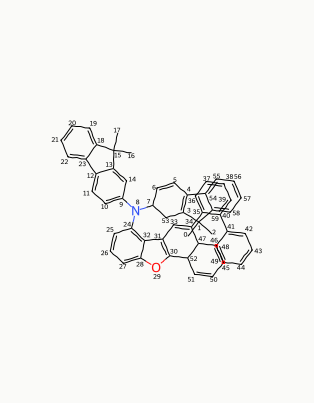 CC1(C)C2=C(C=CC(N(c3ccc4c(c3)C(C)(C)c3ccccc3-4)c3cccc4oc5c(c34)C=C(c3ccccc3-c3ccccc3)C3C=CC=CC53)C2)c2ccccc21